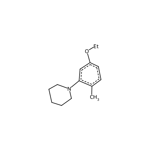 CCOc1ccc(C)c(N2CCCCC2)c1